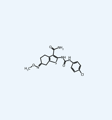 CON=C1CCc2c(sc(NC(=O)Nc3ccc(Cl)cc3)c2C(N)=O)C1